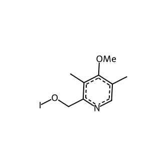 COc1c(C)cnc(COI)c1C